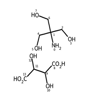 NC(CO)(CO)CO.O=C(O)C(O)C(O)C(=O)O